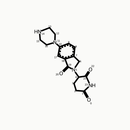 O=C1CCC(N2Cc3ccc(N4CCNCC4)cc3C2=O)C(=O)N1